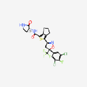 O=C(N[C@@H]1CCNC1=O)c1sc(C2=NOC(c3cc(Cl)c(F)c(Cl)c3)(C(F)(F)F)C2)c2c1CCC2